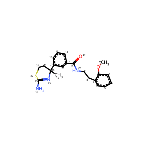 COc1ccccc1CCNC(=O)c1cccc(C2(C)CCSC(N)=N2)c1